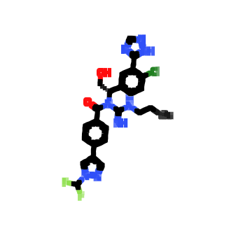 CC(C)(C)CCNC(=N)N(C(=O)c1ccc(-c2cnn(C(F)F)c2)cc1)[C@H](CO)c1ccc(Cl)c(-c2ncn[nH]2)c1